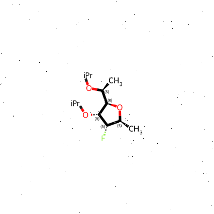 CC(C)O[C@H]1[C@@H](F)[C@H](C)O[C@@H]1[C@H](C)OC(C)C